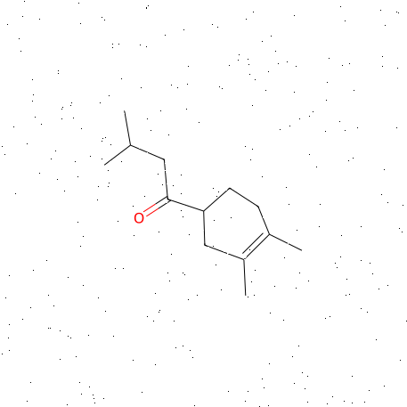 CC1=C(C)CC(C(=O)CC(C)C)CC1